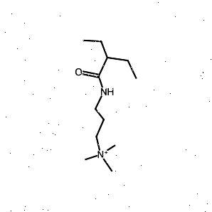 CCC(CC)C(=O)NCCC[N+](C)(C)C